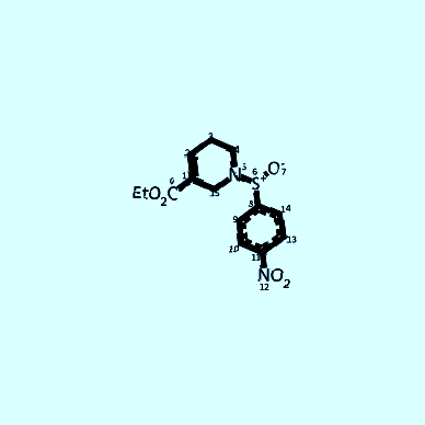 CCOC(=O)C1=CCCN([S+]([O-])c2ccc([N+](=O)[O-])cc2)C1